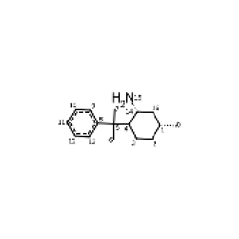 C[C@@H]1CCC(C(C)(C)c2ccccc2)[C@H](N)C1